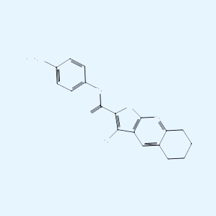 CC(=O)Nc1ccc(NC(=O)c2sc3nc4c(cc3c2N)CCCC4)cc1